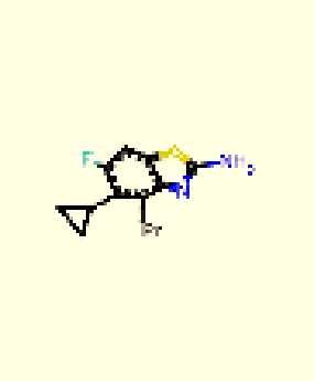 CC(C)c1c(C2CC2)c(F)cc2sc(N)nc12